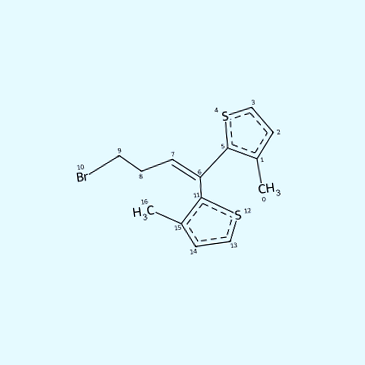 Cc1ccsc1C(=CCCBr)c1sccc1C